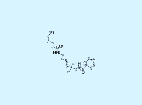 CC/C=C\CCC(=O)NCCSSC(C)(C)CNC(=O)c1cccnc1